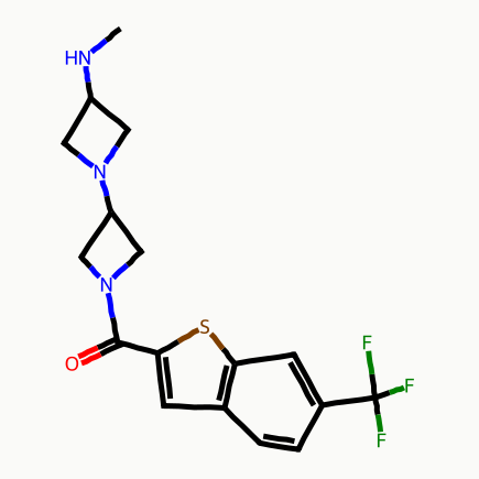 CNC1CN(C2CN(C(=O)c3cc4ccc(C(F)(F)F)cc4s3)C2)C1